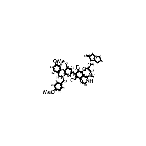 C=C1CN2CCC[C@@]2(COC2=CN(C)C3=c4c(c(F)c(-c5cc(C)cc(N(Cc6ccc(OC)cc6)Cc6ccc(OC)cc6)n5)c(Cl)c4=NCN3)O2)C1